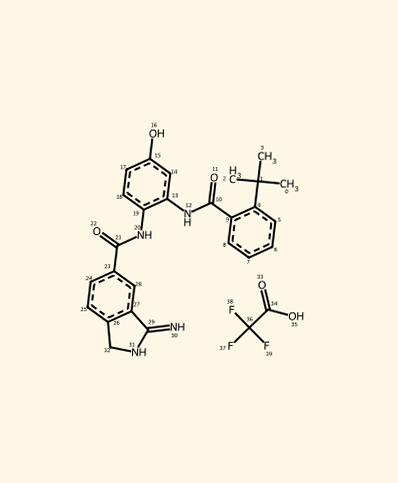 CC(C)(C)c1ccccc1C(=O)Nc1cc(O)ccc1NC(=O)c1ccc2c(c1)C(=N)NC2.O=C(O)C(F)(F)F